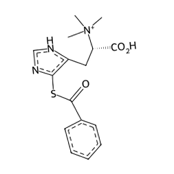 C[N+](C)(C)[C@@H](Cc1[nH]cnc1SC(=O)c1ccccc1)C(=O)O